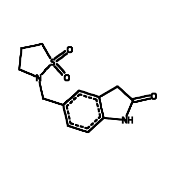 O=C1Cc2cc(CN3CCCS3(=O)=O)ccc2N1